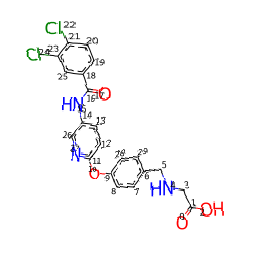 O=C(O)CNCc1ccc(Oc2ccc(NC(=O)c3ccc(Cl)c(Cl)c3)cn2)cc1